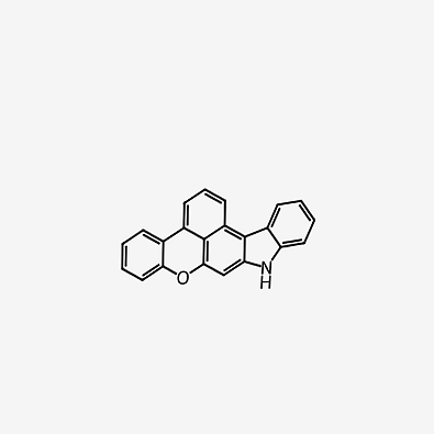 c1ccc2c(c1)Oc1cc3[nH]c4ccccc4c3c3cccc-2c13